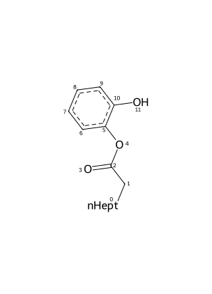 CCCCCCCCC(=O)Oc1ccccc1O